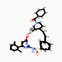 Cc1cccc(C)c1-c1cc2nc(n1)N[S+]([O-])c1cccc(c1)CCC1CCN(C(=O)C3CCCCC3)C[C@@H]1CO2